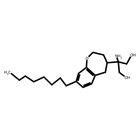 CCCCCCCCc1ccc2c(c1)OCCC(C(N)(CO)CO)C2